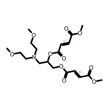 COCCN(CCOC)CC(COC(=O)/C=C/C(=O)OC)OC(=O)/C=C/C(=O)OC